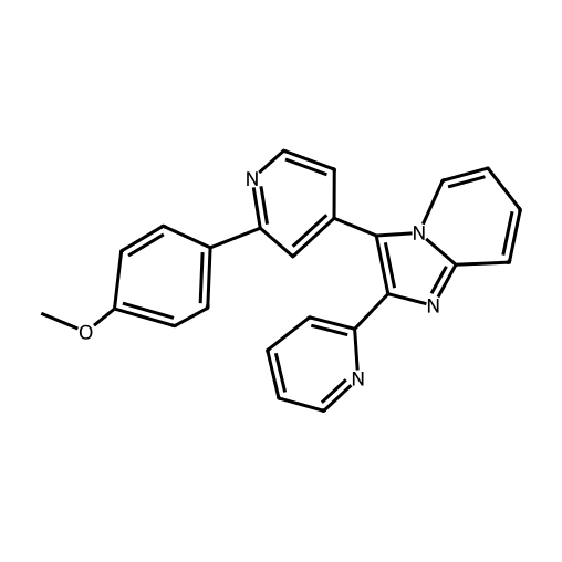 COc1ccc(-c2cc(-c3c(-c4ccccn4)nc4ccccn34)ccn2)cc1